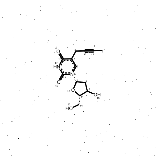 CC#CCc1cn([C@@H]2CC(O)[C@H](CO)O2)c(=O)[nH]c1=O